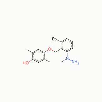 CCc1cccc(N(C)N)c1COc1cc(C)c(O)cc1C